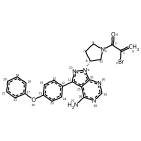 C=C(Br)C(=O)N1CC[C@@H](n2nc(-c3ccc(Oc4ccccc4)cc3)c3c(N)ncnc32)C1